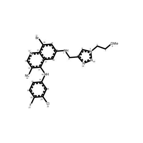 COCCn1cc(CNc2cc(Br)c3ncc(C#N)c(Nc4ccc(F)c(Cl)c4)c3c2)nn1